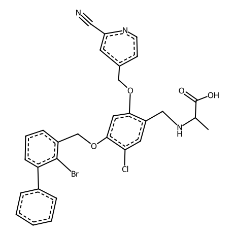 CC(NCc1cc(Cl)c(OCc2cccc(-c3ccccc3)c2Br)cc1OCc1ccnc(C#N)c1)C(=O)O